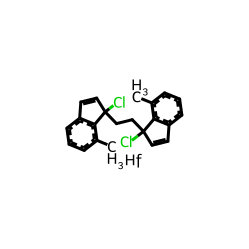 Cc1cccc2c1C(Cl)(CCC1(Cl)C=Cc3cccc(C)c31)C=C2.[Hf]